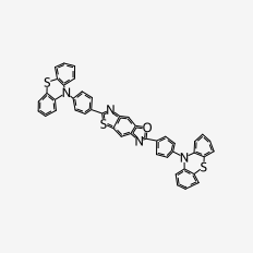 c1ccc2c(c1)Sc1ccccc1N2c1ccc(-c2nc3cc4sc(-c5ccc(N6c7ccccc7Sc7ccccc76)cc5)nc4cc3o2)cc1